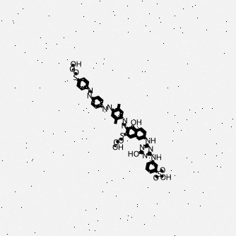 Cc1cc(N=Nc2c(SOOO)cc3cc(Nc4nc(O)nc(Nc5cccc(S(=O)(=O)O)c5)n4)ccc3c2O)c(C)cc1N=Nc1ccc(N=Nc2ccc(SOOO)cc2)cc1